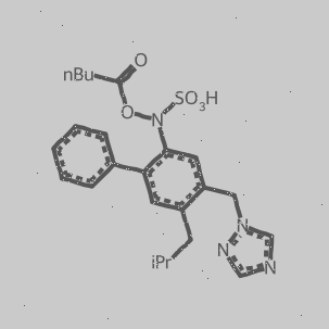 CCCCC(=O)ON(c1cc(Cn2cncn2)c(CC(C)C)cc1-c1ccccc1)S(=O)(=O)O